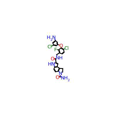 NC(=O)N1CCc2c1ccc1[nH]c(C(=O)NCc3ccc(Cl)c(Oc4cc(N)cc(Cl)c4)c3F)cc21